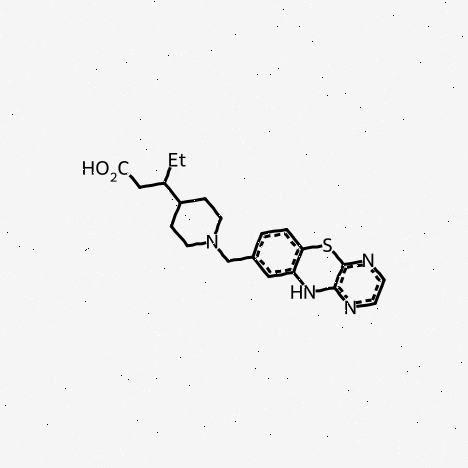 CCC(CC(=O)O)C1CCN(Cc2ccc3c(c2)Nc2nccnc2S3)CC1